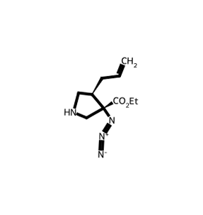 C=CC[C@@H]1CNC[C@]1(N=[N+]=[N-])C(=O)OCC